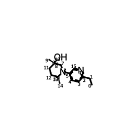 CCc1ccc(N2C[C@@](C)(O)CC[C@@H]2C)cn1